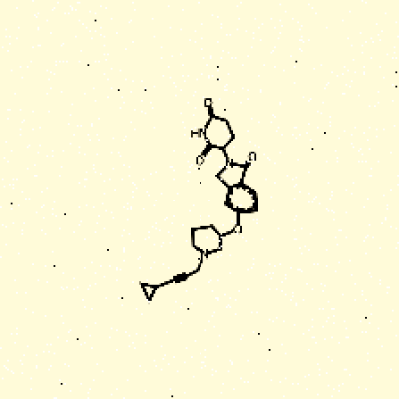 O=C1CCC(N2Cc3cc(OC4CCCN(CC#CC5CC5)C4)ccc3C2=O)C(=O)N1